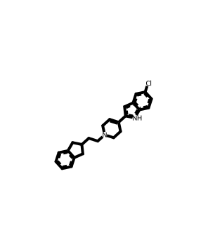 Clc1ccc2[nH]c(C3=CCN(CCC4Cc5ccccc5C4)CC3)cc2c1